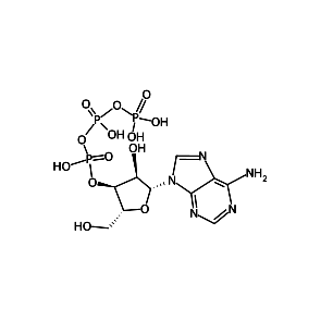 Nc1ncnc2c1ncn2[C@@H]1O[C@H](CO)[C@@H](OP(=O)(O)OP(=O)(O)OP(=O)(O)O)[C@H]1O